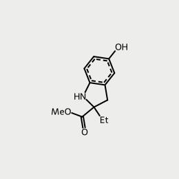 CCC1(C(=O)OC)Cc2cc(O)ccc2N1